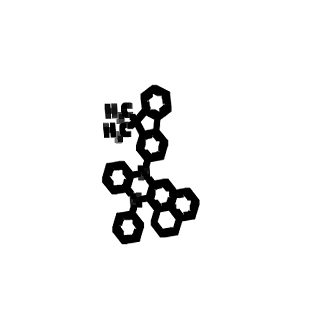 CC1(C)c2ccccc2-c2ccc(N3c4ccccc4N(c4ccccc4)c4c3cc3cccc5c3c4CC=C5)cc21